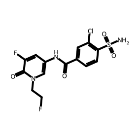 NS(=O)(=O)c1ccc(C(=O)Nc2cc(F)c(=O)n(CCF)c2)cc1Cl